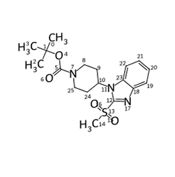 CC(C)(C)OC(=O)N1CCC(n2c(S(C)(=O)=O)nc3ccccc32)CC1